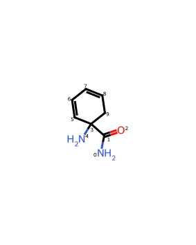 NC(=O)C1(N)C=CC=CC1